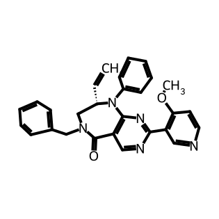 C=C[C@H]1CN(Cc2ccccc2)C(=O)c2cnc(-c3cnccc3OC)nc2N1c1ccccc1